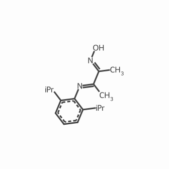 CC(=NO)C(C)=Nc1c(C(C)C)cccc1C(C)C